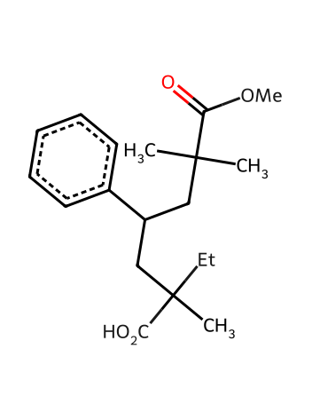 CCC(C)(CC(CC(C)(C)C(=O)OC)c1ccccc1)C(=O)O